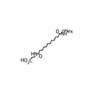 CCCCCCNC(=O)CCCCCCCCCCC(=O)NCCC(=O)O